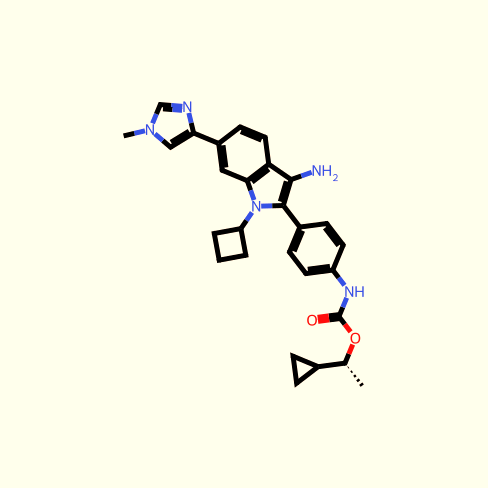 C[C@@H](OC(=O)Nc1ccc(-c2c(N)c3ccc(-c4cn(C)cn4)cc3n2C2CCC2)cc1)C1CC1